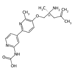 C=C(C)C[C@](C)(N)COc1ccc(-c2ccnc(NC(=O)O)c2)nc1C